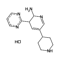 Cl.NC1N=CC(C2CCNCC2)=CC1c1ncccn1